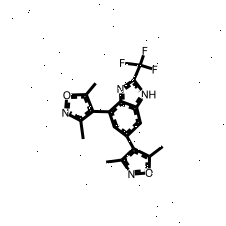 Cc1noc(C)c1-c1cc(-c2c(C)noc2C)c2nc(C(F)(F)F)[nH]c2c1